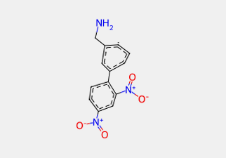 NCc1[c]ccc(-c2ccc([N+](=O)[O-])cc2[N+](=O)[O-])c1